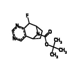 CC(C)(C)OC(=O)N1C2CCC1C(F)c1ncncc12